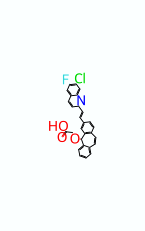 O=C(O)COC1c2ccccc2C=Cc2ccc(C=Cc3ccc4cc(F)c(Cl)cc4n3)cc21